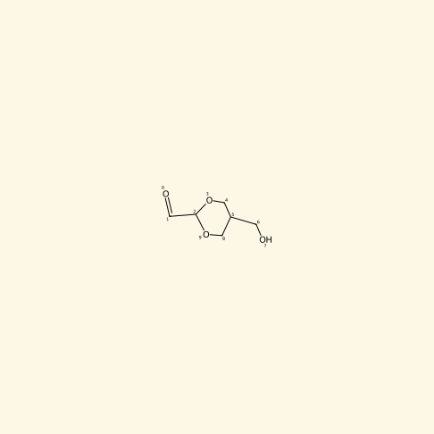 O=CC1OCC(CO)CO1